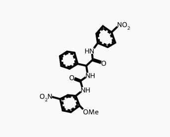 COc1ccc([N+](=O)[O-])cc1NC(=O)NC(C(=O)Nc1ccc([N+](=O)[O-])cc1)c1ccccc1